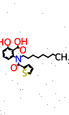 CCCCCCCCN(C(=O)c1cccs1)c1cccc(O)c1C(=O)O